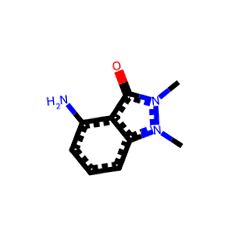 Cn1c(=O)c2c(N)cccc2n1C